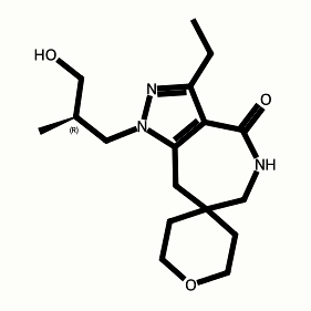 CCc1nn(C[C@@H](C)CO)c2c1C(=O)NCC1(CCOCC1)C2